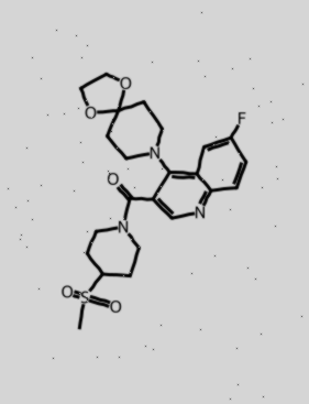 CS(=O)(=O)C1CCN(C(=O)c2cnc3ccc(F)cc3c2N2CCC3(CC2)OCCO3)CC1